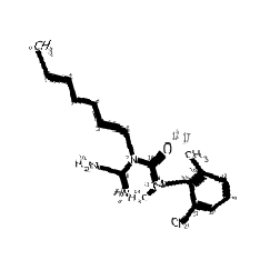 CCCCCCCN(C(=N)N)C(=O)N(C)c1c(C)cccc1Cl